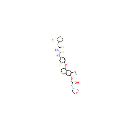 COc1cc2c(Oc3ccc(NC(=S)NC(=O)Cc4ccccc4Cl)cc3F)ccnc2cc1OCC(O)CN1CCOCC1